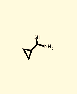 NC(S)C1CC1